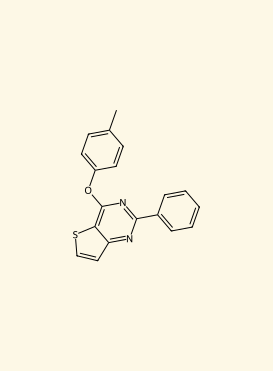 Cc1ccc(Oc2nc(-c3ccccc3)nc3ccsc23)cc1